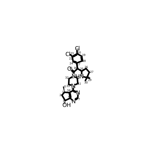 C[C@@H]1C[C@@H](O)c2ncnc(N3CCN(C(=O)C(c4ccc(Cl)c(Cl)c4)C4CCC(C)(C)N4)CC3)c21